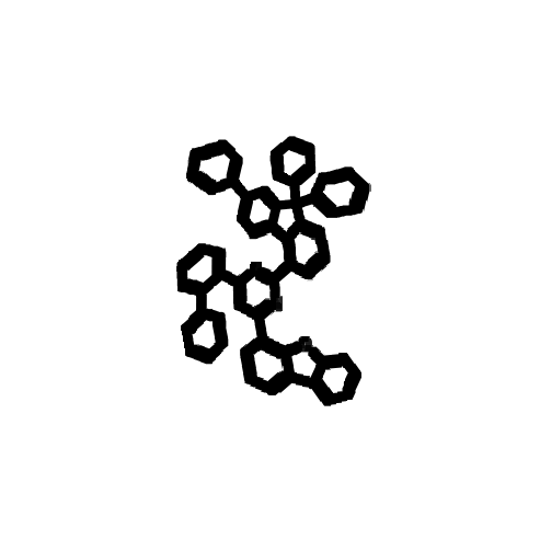 c1ccc(-c2ccc3c(c2)C(c2ccccc2)(c2ccccc2)c2cccc(-c4nc(-c5ccccc5-c5ccccc5)cc(-c5cccc6c5oc5ccccc56)n4)c2-3)cc1